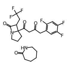 O=C(CC(=O)C12CCCN1C(=O)C2CC(F)(F)F)Cc1cc(F)c(F)cc1F.O=C1CCCCCN1